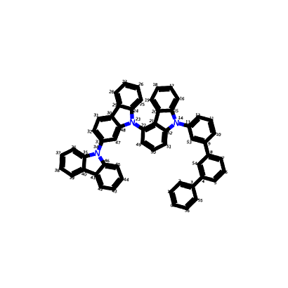 c1ccc(-c2cccc(-c3cccc(-n4c5ccccc5c5c(-n6c7ccccc7c7ccc(-n8c9ccccc9c9ccccc98)cc76)cccc54)c3)c2)cc1